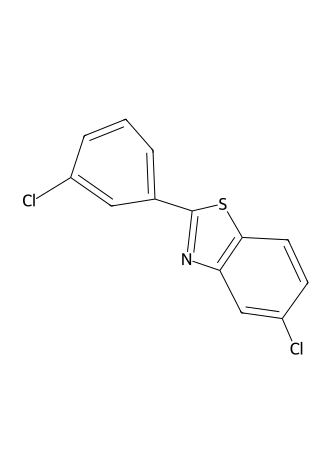 Clc1cccc(-c2nc3cc(Cl)ccc3s2)c1